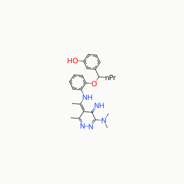 CCCC(Oc1ccccc1N/C(C)=C1\C(=N)C(N(C)C)=NN=C1C)c1cccc(O)c1